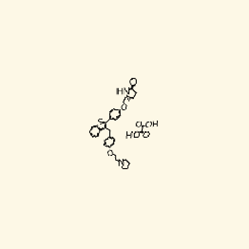 O=C(O)C(=O)O.O=C1CC[C@@H](COc2ccc(-c3sc4ccccc4c3Cc3ccc(OCCN4CCCC4)cc3)cc2)N1